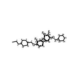 CCCC1CCC(COc2ccc3c(c2F)-c2c-3cc(OCC3CCCCC3)c(F)c2F)CC1